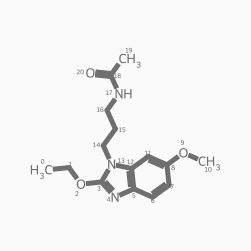 CCOc1nc2ccc(OC)cc2n1CCCNC(C)=O